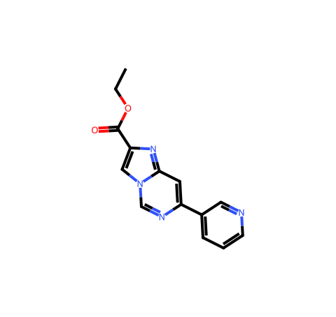 CCOC(=O)c1cn2cnc(-c3cccnc3)cc2n1